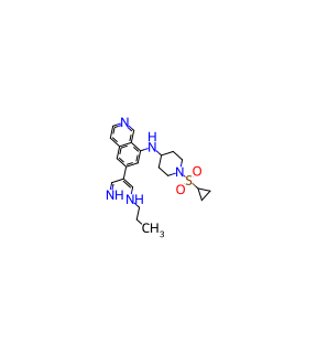 CCCN/C=C(\C=N)c1cc(NC2CCN(S(=O)(=O)C3CC3)CC2)c2cnccc2c1